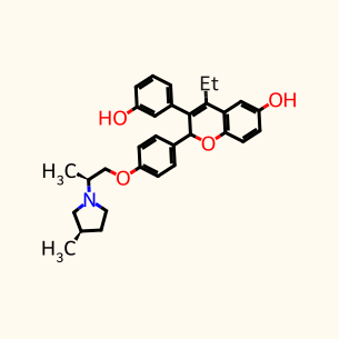 CCC1=C(c2cccc(O)c2)C(c2ccc(OC[C@H](C)N3CC[C@@H](C)C3)cc2)Oc2ccc(O)cc21